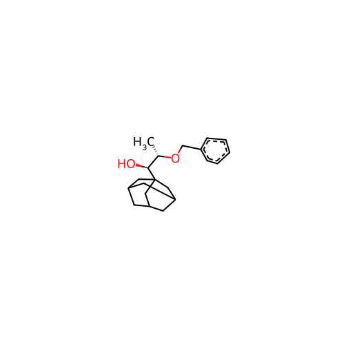 C[C@H](OCc1ccccc1)[C@H](O)C12CC3CC(CC(C3)C1)C2